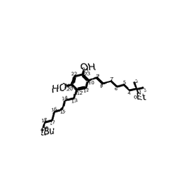 CCC(C)(C)CCCCCCc1cc(CCCCCCC(C)(C)C)c(O)cc1O